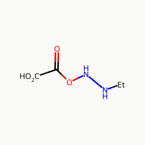 CCNNOC(=O)C(=O)O